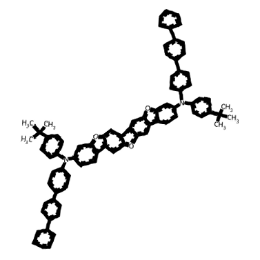 CC(C)(C)c1ccc(N(c2ccc(-c3ccc(-c4ccccc4)cc3)cc2)c2ccc3c(c2)oc2cc4c(cc23)oc2cc3c(cc24)oc2cc(N(c4ccc(-c5ccc(-c6ccccc6)cc5)cc4)c4ccc(C(C)(C)C)cc4)ccc23)cc1